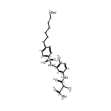 CCCCCCCCCCCCCCCCc1ccc(S(=O)(=O)Nc2cc(NC(=O)C(Cl)C(=O)C(C)(C)C)ccc2Cl)cc1